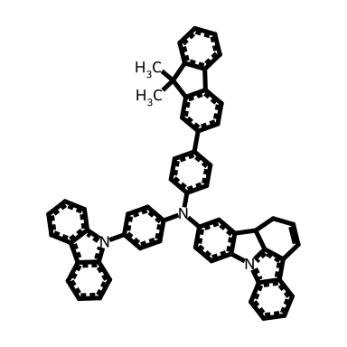 CC1(C)c2ccccc2-c2ccc(-c3ccc(N(c4ccc(-n5c6ccccc6c6ccccc65)cc4)c4ccc5c(c4)C4CC=Cc6c4n-5c4ccccc64)cc3)cc21